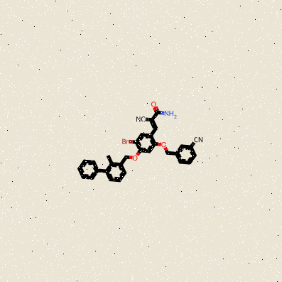 Cc1c(COc2cc(OCc3cccc(C#N)c3)c(/C=C(\C#N)C(N)=O)cc2Br)cccc1-c1ccccc1